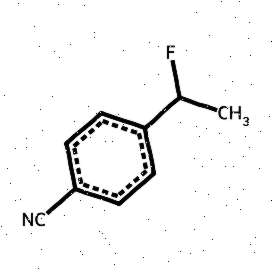 CC(F)c1ccc(C#N)cc1